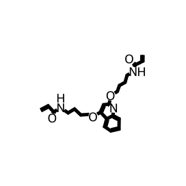 C=CC(=O)NCCCCOc1cc(OCCCCNC(=O)C=C)c2ccccc2n1